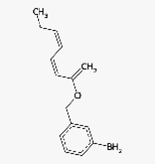 Bc1cccc(COC(=C)/C=C\C=C/CC)c1